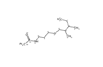 CCC(C)C(C)COCCCNC(C)=O